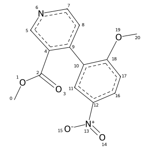 COC(=O)c1cnccc1-c1cc([N+](=O)[O-])ccc1OC